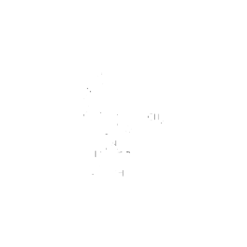 C=CCOC(=O)C1=C(c2ccc(CN3CCOCC3)cc2)C[C@@H]2[C@@H]([C@@H](C)O)C(=O)N12